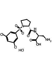 Cl.NC[C@H](NC(=O)[C@H]1CCCN1S(=O)(=O)c1cc(Cl)cc(Cl)c1)C(=O)O